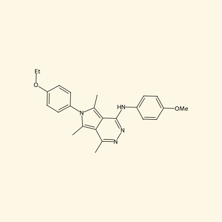 CCOc1ccc(-n2c(C)c3c(C)nnc(Nc4ccc(OC)cc4)c3c2C)cc1